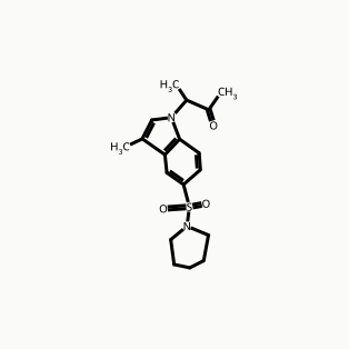 CC(=O)C(C)n1cc(C)c2cc(S(=O)(=O)N3CCCCC3)ccc21